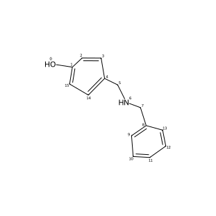 Oc1ccc(CNCc2ccccc2)cc1